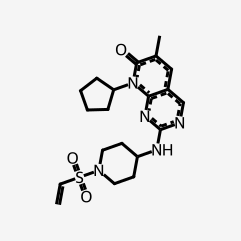 C=CS(=O)(=O)N1CCC(Nc2ncc3cc(C)c(=O)n(C4CCCC4)c3n2)CC1